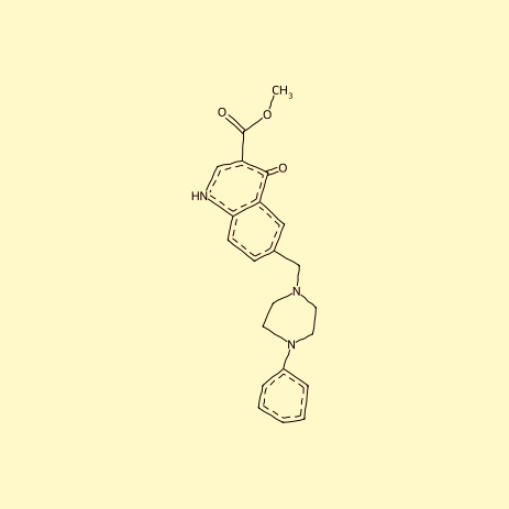 COC(=O)c1c[nH]c2ccc(CN3CCN(c4ccccc4)CC3)cc2c1=O